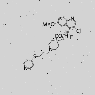 COc1ccc2ncc(Cl)c([C@H](F)CCC3(C(=O)O)CCN(CCCSc4ccncc4)CC3)c2c1